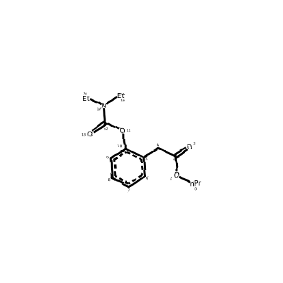 CCCOC(=O)Cc1ccccc1OC(=O)N(CC)CC